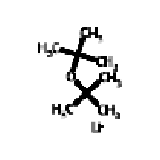 CC(C)(C)OC(C)(C)C.[Li]